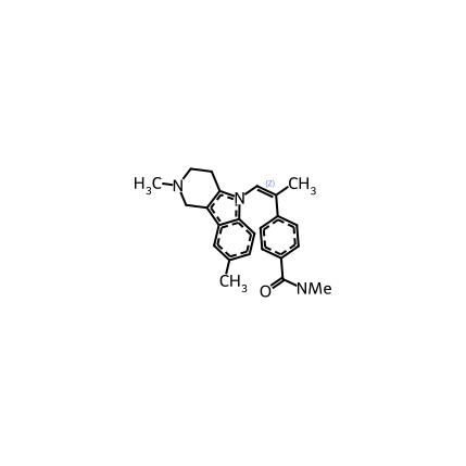 CNC(=O)c1ccc(/C(C)=C\n2c3c(c4cc(C)ccc42)CN(C)CC3)cc1